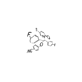 N#Cc1ccc(O[C@H](c2ccc(F)cc2)[C@@H](c2ccc(F)cc2)n2cc(F)ccc2=O)cc1